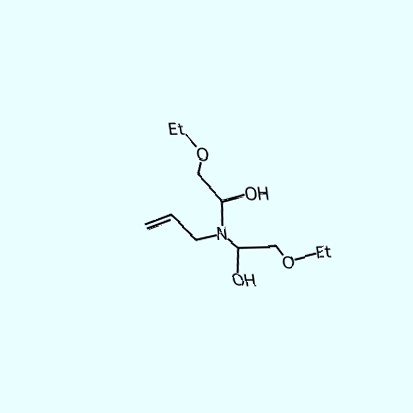 C=CCN(C(O)COCC)C(O)COCC